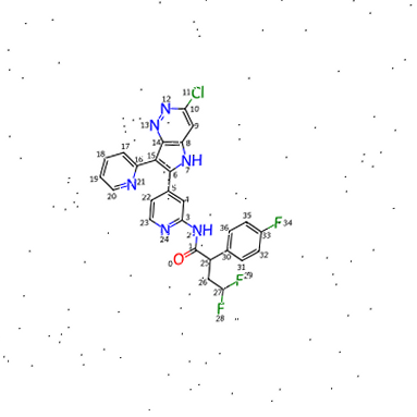 O=C(Nc1cc(-c2[nH]c3cc(Cl)nnc3c2-c2ccccn2)ccn1)C(CC(F)F)c1ccc(F)cc1